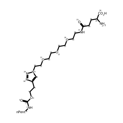 CCCCCNC(=O)OCCc1cn(CCOCCOCCOCCNC(=O)CCC(N)C(=O)O)nn1